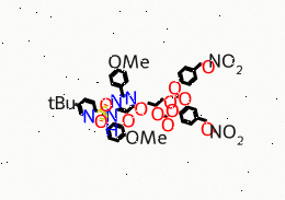 COc1ccc(-c2nc(NS(=O)(=O)c3ccc(C(C)(C)C)cn3)c(Oc3ccccc3OC)c(OCC(COC(=O)Oc3ccc(CO[N+](=O)[O-])cc3)OC(=O)Oc3ccc(CO[N+](=O)[O-])cc3)n2)cc1